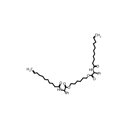 C=CCCCCCCCCC(=O)NC(C(=O)OCCCCCCOC(=O)C(NC(=O)CCCCCCCCC=C)C(C)C)C(C)C